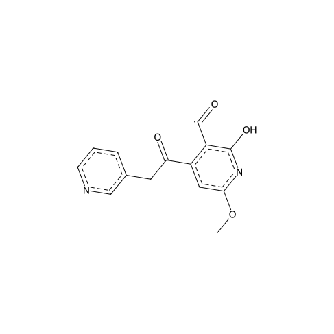 COc1cc(C(=O)Cc2cccnc2)c([C]=O)c(O)n1